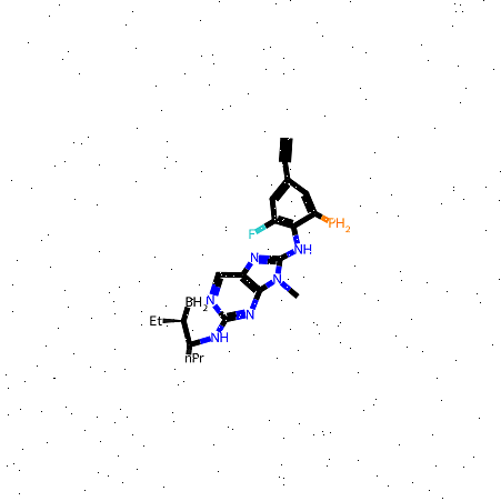 B[C@H](CC)C(CCC)Nc1ncc2nc(Nc3c(F)cc(C#C)cc3P)n(C)c2n1